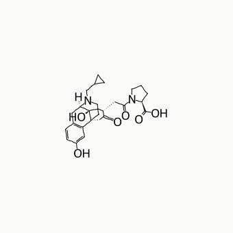 O=C1C[C@]23CCN(CC4CC4)[C@H](Cc4ccc(O)cc42)[C@]3(O)C[C@@H]1CC(=O)N1CCC[C@H]1C(=O)O